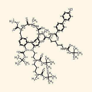 COC(=O)[C@@H]1Cc2ccc(OC(=O)OC(C)(C)C)c(c2)-c2cc(ccc2OCCN(CCCN(C)C(=O)OC(C)(C)C)C(=O)OC(C)(C)C)[C@H](N(C)C(=O)[C@H](CCCCNC(=O)OC(C)(C)C)NC(=O)c2ccc(-c3ccc(Cl)cc3)cc2)C(=O)N[C@@H](C)C(=O)N1